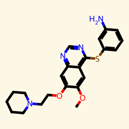 COc1cc2c(Sc3cccc(N)c3)ncnc2cc1OCCN1CCCCC1